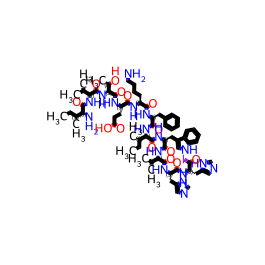 CC[C@H](C)[C@H](N)C(=O)N[C@H](C(=O)N[C@H](C(=O)N[C@@H](CCC(=O)O)C(=O)N[C@@H](CCCCN)C(=O)N[C@@H](Cc1ccccc1)C(=O)N[C@H](C(=O)N[C@@H](Cc1c[nH]c2ccccc12)C(=O)N[C@H](C(=O)N[C@@H](Cc1cnc[nH]1)C(=O)N[C@@H](Cc1cnc[nH]1)C(=O)I)C(C)C)[C@@H](C)CC)[C@@H](C)O)C(C)C